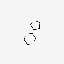 C1CCOC1.C1COCCO1